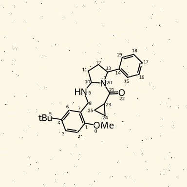 COc1ccc(C(C)(C)C)cc1CNC1CCC(c2ccccc2)N1C(=O)C1CC1